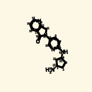 N[C@H]1CC[C@H](Nc2ccc(N3Cc4ncccc4C3=O)cn2)C1